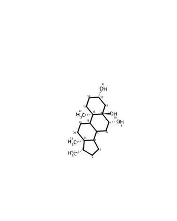 C[C@H]1CCC2C3C[C@@H](O)[C@@]4(O)C[C@@H](O)CC[C@]4(C)C3CC[C@@]21C